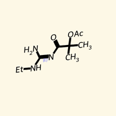 CCN/C(N)=N/C(=O)C(C)(C)OC(C)=O